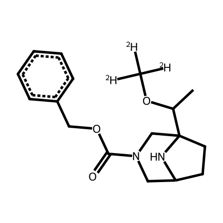 [2H]C([2H])([2H])OC(C)C12CCC(CN(C(=O)OCc3ccccc3)C1)N2